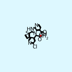 NC(=O)C(c1ccnc(Cl)c1)N1c2c(C(=O)O)ccnc2NC1c1cccs1